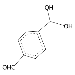 O=Cc1ccc(C(O)O)cc1